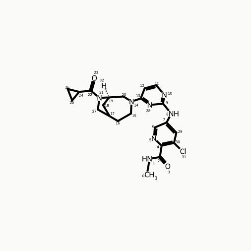 CNC(=O)c1ncc(Nc2nccc(N3CCC4C[C@H](C3)N(C(=O)C3CC3)C4)n2)cc1Cl